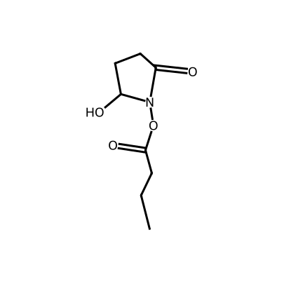 CCCC(=O)ON1C(=O)CCC1O